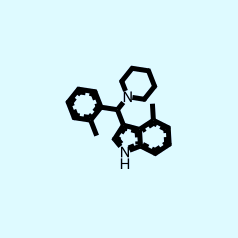 Cc1ccccc1C(c1c[nH]c2cccc(C)c12)N1CCCCC1